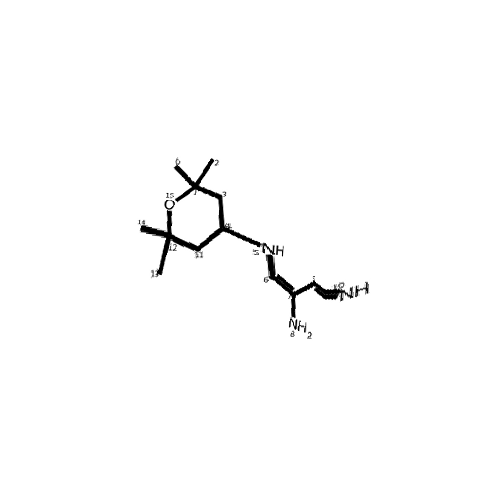 CC1(C)CC(N/C=C(/N)C=N)CC(C)(C)O1